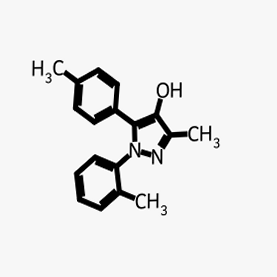 Cc1ccc(-c2c(O)c(C)nn2-c2ccccc2C)cc1